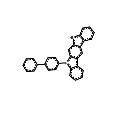 c1ccc(-c2ccc(-n3c4ccccc4c4cc5c(cc43)[nH]c3ccccc35)cc2)cc1